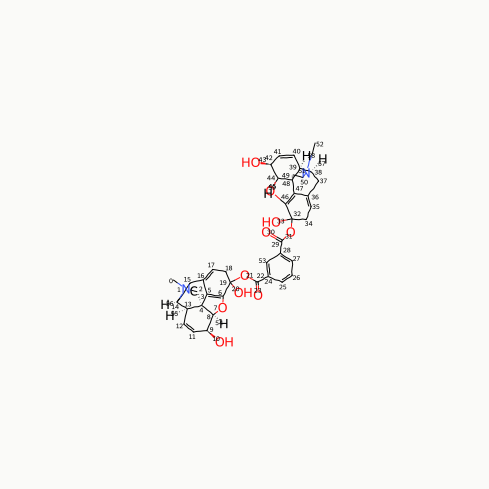 CN1CC[C@]23C4=C5O[C@H]2[C@@H](O)C=C[C@H]3[C@H]1CC4=CCC5(O)OC(=O)c1cccc(C(=O)OC2(O)CC=C3C[C@@H]4[C@@H]5C=C[C@H](O)[C@@H]6OC2=C3[C@]56CCN4C)c1